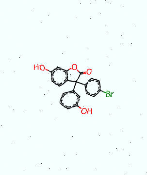 O=C1Oc2cc(O)ccc2C1(c1ccc(Br)cc1)c1cccc(O)c1